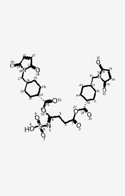 O=C(CC/C(=N/S(=O)(=O)O)OC(=O)[C@H]1CC[C@H](CN2C(=O)C=CC2=O)CC1)OC(=O)[C@H]1CC[C@H](CN2C(=O)C=CC2=O)CC1